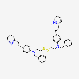 C[n+]1ccccc1/C=C/c1ccc(N(CCSSCCN(Cc2ccccc2)c2ccc(/C=C/c3cccc[n+]3C)cc2)Cc2ccccc2)cc1